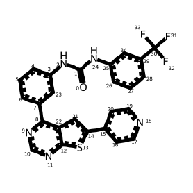 O=C(Nc1cccc(-c2ncnc3sc(-c4ccncc4)cc23)c1)Nc1cccc(C(F)(F)F)c1